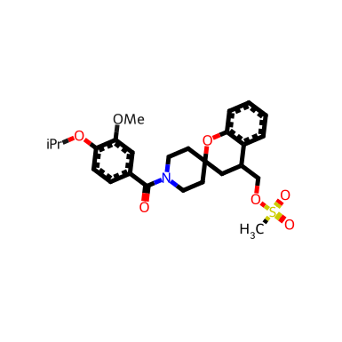 COc1cc(C(=O)N2CCC3(CC2)CC(COS(C)(=O)=O)c2ccccc2O3)ccc1OC(C)C